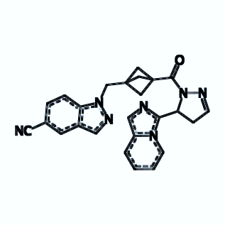 N#Cc1ccc2c(cnn2CC23CC(C(=O)N4N=CCC4c4ncc5ccccn45)(C2)C3)c1